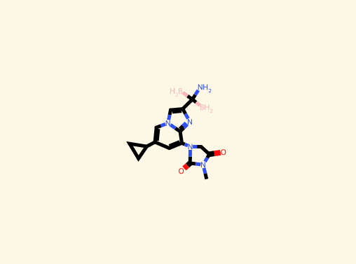 BC(B)(N)c1cn2cc(C3CC3)cc(N3CC(=O)N(C)C3=O)c2n1